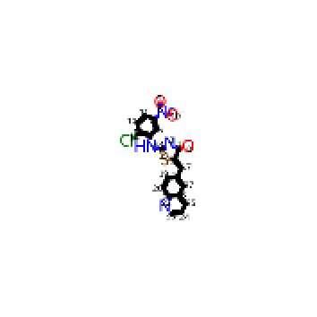 O=C1N=C(Nc2cc([N+](=O)[O-])ccc2Cl)S/C1=C\c1ccc2ncccc2c1